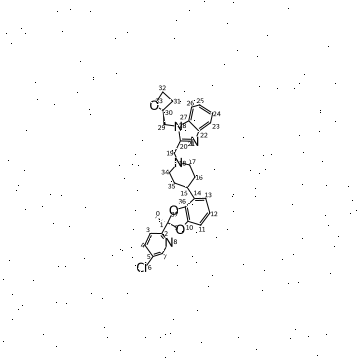 C[C@@]1(c2ccc(Cl)cn2)Oc2cccc(C3CCN(Cc4nc5ccccc5n4C[C@@H]4CCO4)CC3)c2O1